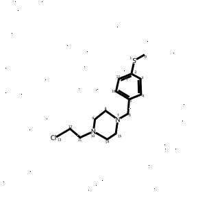 CSc1ccc(CN2CCN(CCCl)CC2)cc1